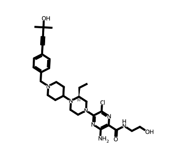 CC[C@H]1CN(c2nc(N)c(C(=O)NCCO)nc2Cl)CCN1C1CCN(Cc2ccc(C#CC(C)(C)O)cc2)CC1